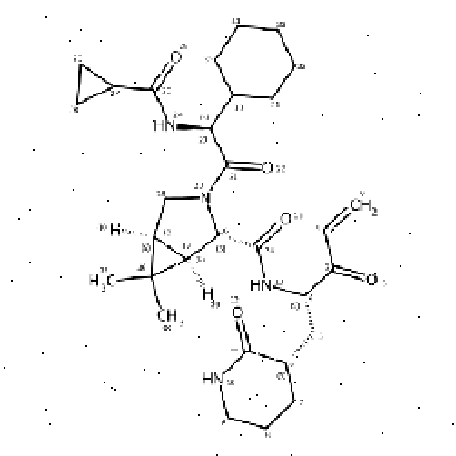 C=CC(=O)[C@H](C[C@@H]1CCCNC1=O)NC(=O)[C@@H]1[C@@H]2[C@H](CN1C(=O)[C@@H](NC(=O)C1CC1)C1CCCCC1)C2(C)C